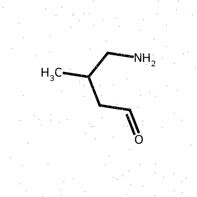 CC(CN)CC=O